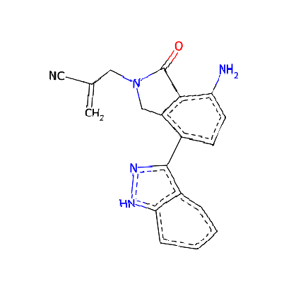 C=C(C#N)CN1Cc2c(-c3n[nH]c4ccccc34)ccc(N)c2C1=O